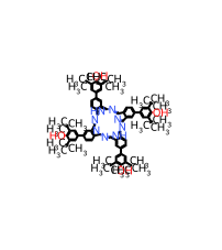 CC(C)(C)c1cc(-c2ccc3c(c2)-c2nc-3nc3[nH]c(nc4nc(nc5[nH]c(n2)c2ccc(-c6cc(C(C)(C)C)c(O)c(C(C)(C)C)c6)cc52)-c2ccc(-c5cc(C(C)(C)C)c(O)c(C(C)(C)C)c5)cc2-4)c2ccc(-c4cc(C(C)(C)C)c(O)c(C(C)(C)C)c4)cc32)cc(C(C)(C)C)c1O